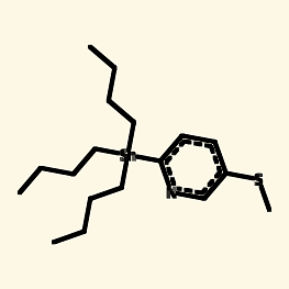 CCC[CH2][Sn]([CH2]CCC)([CH2]CCC)[c]1ccc(SC)cn1